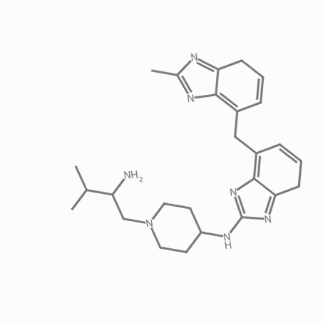 CC1=NC2=C(CC3=C4N=C(NC5CCN(CC(N)C(C)C)CC5)N=C4CC=C3)C=CCC2=N1